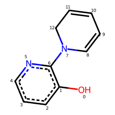 Oc1cccnc1N1C=[C]C=CC1